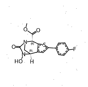 COC(=O)[C@@H]1c2sc(-c3ccc(F)cc3)cc2[C@@H]2CN1C(=O)N2O